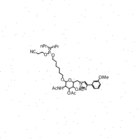 CCCN(CCC)P(OCCC#N)OCCCCCCOC1OC(Cn2cc(-c3cccc(OC)c3)nn2)C(OC(C)=O)C(OC(C)=O)C1NC(C)=O